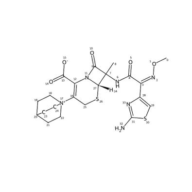 CO/N=C(\C(=O)NC1(C)C(=O)N2C(C(=O)[O-])=C([N+]34CCC(CC3)CC4)CS[C@H]21)c1csc(N)n1